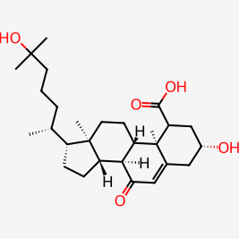 C[C@H](CCCC(C)(C)O)[C@H]1CC[C@H]2[C@@H]3C(=O)C=C4C[C@@H](O)CC(C(=O)O)[C@]4(C)[C@H]3CC[C@]12C